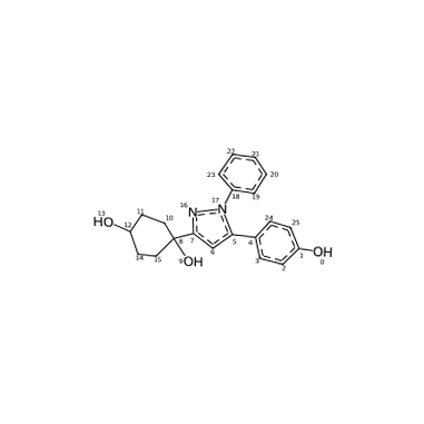 Oc1ccc(-c2cc(C3(O)CCC(O)CC3)nn2-c2ccccc2)cc1